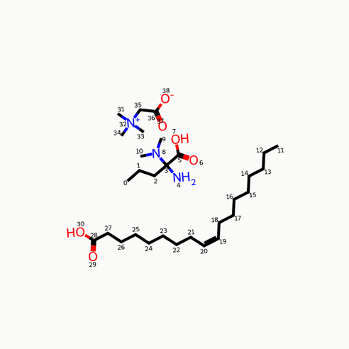 CCCC(N)(C(=O)O)N(C)C.CCCCCCCC/C=C\CCCCCCCC(=O)O.C[N+](C)(C)CC(=O)[O-]